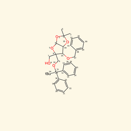 CC1(C)OC2OC(CO)(CO[Si](c3ccccc3)(c3ccccc3)C(C)(C)C)C(OCc3ccccc3)C2O1